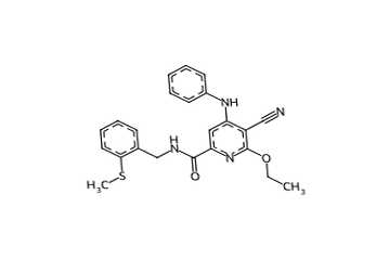 CCOc1nc(C(=O)NCc2ccccc2SC)cc(Nc2ccccc2)c1C#N